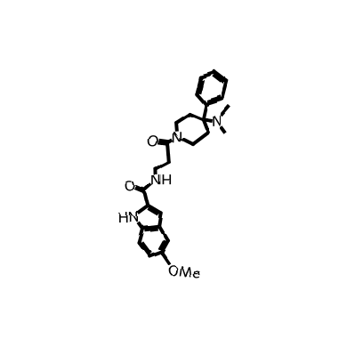 COc1ccc2[nH]c(C(=O)NCCC(=O)N3CCC(c4ccccc4)(N(C)C)CC3)cc2c1